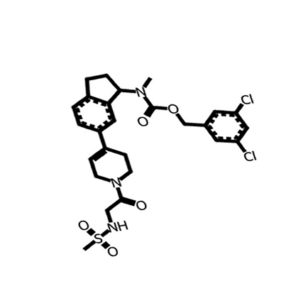 CN(C(=O)OCc1cc(Cl)cc(Cl)c1)C1CCc2ccc(C3=CCN(C(=O)CNS(C)(=O)=O)CC3)cc21